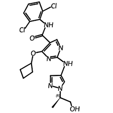 C[C@H](CO)n1cc(Nc2ncc(C(=O)Nc3c(Cl)cccc3Cl)c(OC3CCC3)n2)cn1